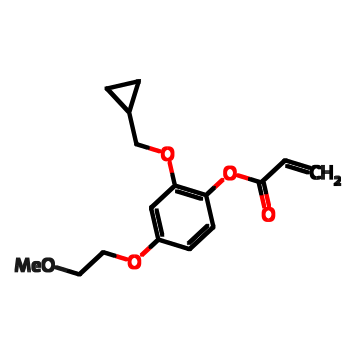 C=CC(=O)Oc1ccc(OCCOC)cc1OCC1CC1